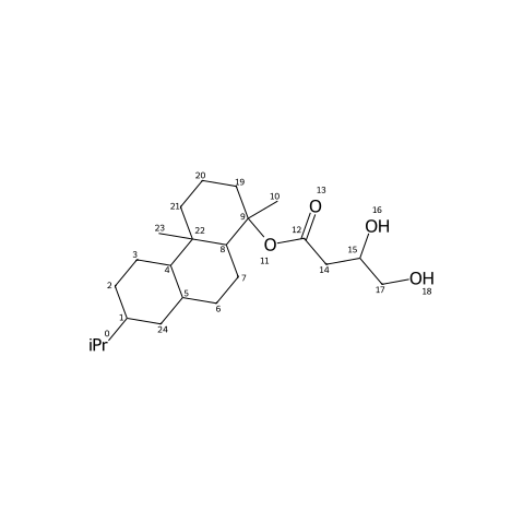 CC(C)C1CCC2C(CCC3C(C)(OC(=O)CC(O)CO)CCCC23C)C1